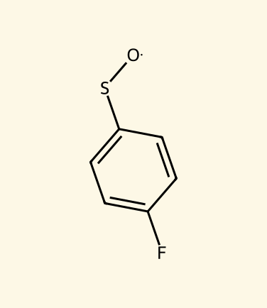 [O]Sc1ccc(F)cc1